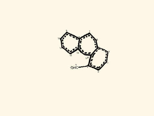 O=[C]c1cccc2ccc3ccccc3c12